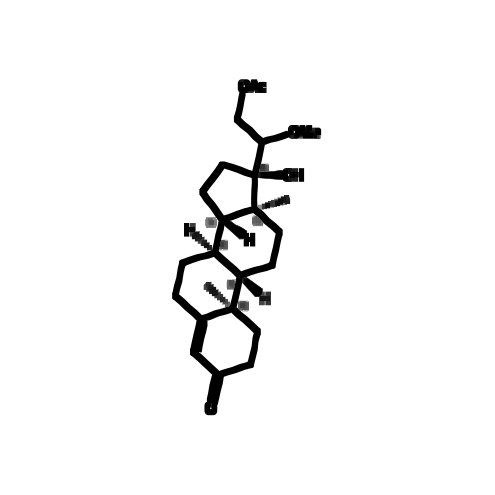 COC(COC(C)=O)[C@@]1(O)CC[C@H]2[C@@H]3CCC4=CC(=O)CC[C@]4(C)[C@H]3CC[C@@]21C